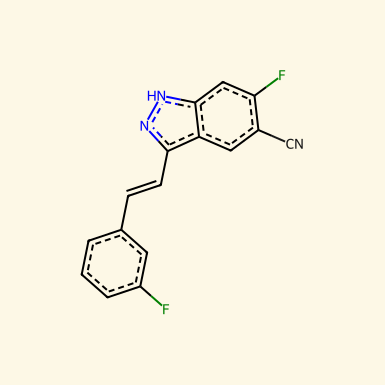 N#Cc1cc2c(C=Cc3cccc(F)c3)n[nH]c2cc1F